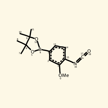 COc1cc(B2OC(C)(C)C(C)(C)O2)ccc1N=C=O